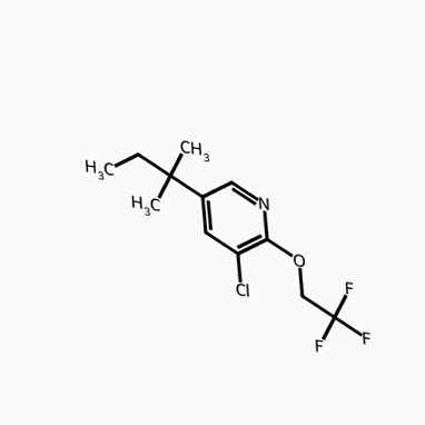 CCC(C)(C)c1cnc(OCC(F)(F)F)c(Cl)c1